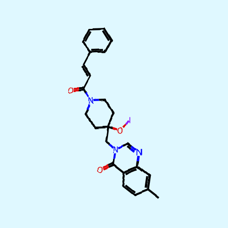 Cc1ccc2c(=O)n(CC3(OI)CCN(C(=O)/C=C/c4ccccc4)CC3)cnc2c1